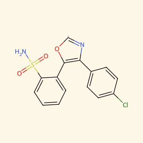 NS(=O)(=O)c1ccccc1-c1o[c]nc1-c1ccc(Cl)cc1